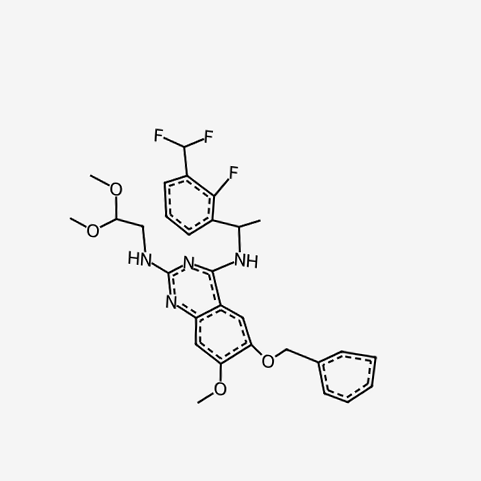 COc1cc2nc(NCC(OC)OC)nc(NC(C)c3cccc(C(F)F)c3F)c2cc1OCc1ccccc1